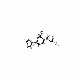 O=C(CC(=O)C(F)(F)F)c1ccc(-c2cscn2)cc1Cl